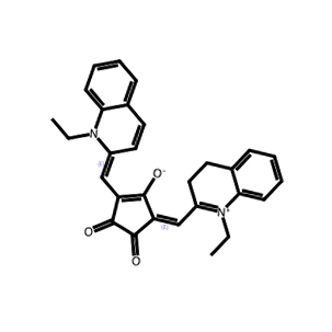 CCN1/C(=C/C2=C([O-])C(=C\C3=[N+](CC)c4ccccc4CC3)/C(=O)C2=O)C=Cc2ccccc21